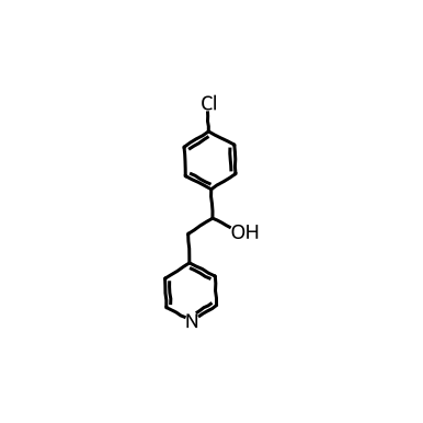 OC(Cc1ccncc1)c1ccc(Cl)cc1